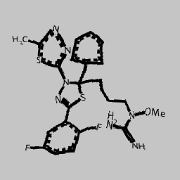 CON(CCCC1(c2ccccc2)SC(c2cc(F)ccc2F)=NN1c1nnc(C)s1)C(=N)N